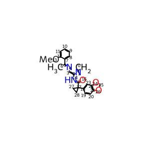 C=N/C(=C\N=C(/C)c1ccccc1OC)NC(=O)C1(c2ccc3c(c2)OCO3)CC1